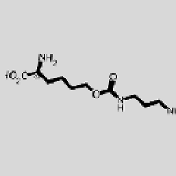 NCCCNC(=O)OCCCC[C@H](N)C(=O)O